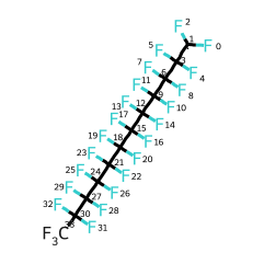 F[C](F)C(F)(F)C(F)(F)C(F)(F)C(F)(F)C(F)(F)C(F)(F)C(F)(F)C(F)(F)C(F)(F)C(F)(F)C(F)(F)F